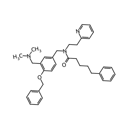 CN(C)Cc1cc(CN(CCc2ccccn2)C(=O)CCCCc2ccccc2)ccc1OCc1ccccc1